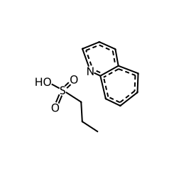 CCCS(=O)(=O)O.c1ccc2ncccc2c1